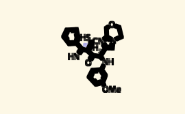 COc1cccc(NC(C(=O)/C(C(=N)c2ccccc2)=C(\C)S)c2cn3c(n2)COCC3)c1